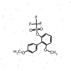 COc1ccc(-c2c(OC)cccc2OS(=O)(=O)C(F)(F)F)cc1